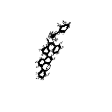 c1ccc(-c2ncc(-c3cccc(-c4ccc5c6c(cccc46)-c4ccccc4O5)c3)c(-c3ccccc3)n2)cc1